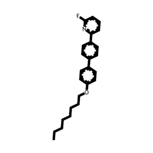 CCCCCCCCOc1ccc(-c2ccc(-c3cccc(F)n3)cc2)cc1